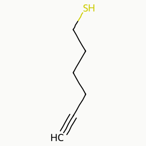 C#CCCCCS